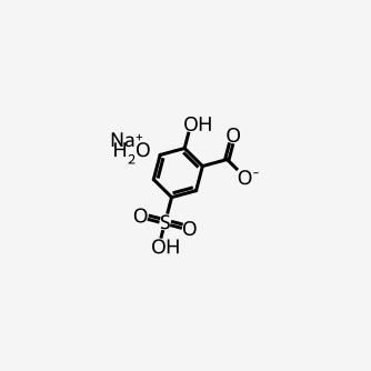 O.O=C([O-])c1cc(S(=O)(=O)O)ccc1O.[Na+]